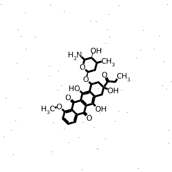 CCC(=O)C1(O)Cc2c(O)c3c(c(O)c2C(O[C@@H]2CC(C)[C@@H](O)C(N)O2)C1)C(=O)c1c(OC)cccc1C3=O